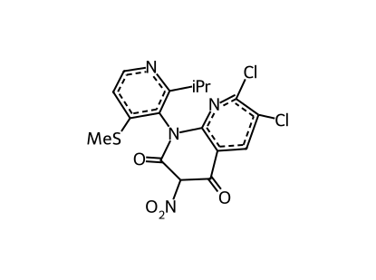 CSc1ccnc(C(C)C)c1N1C(=O)C([N+](=O)[O-])C(=O)c2cc(Cl)c(Cl)nc21